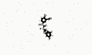 N#Cc1cc(NC(=O)Nc2nc3c(F)cc(F)cc3s2)ccc1Br